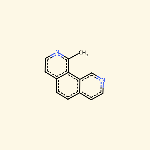 Cc1nccc2ccc3ccncc3c12